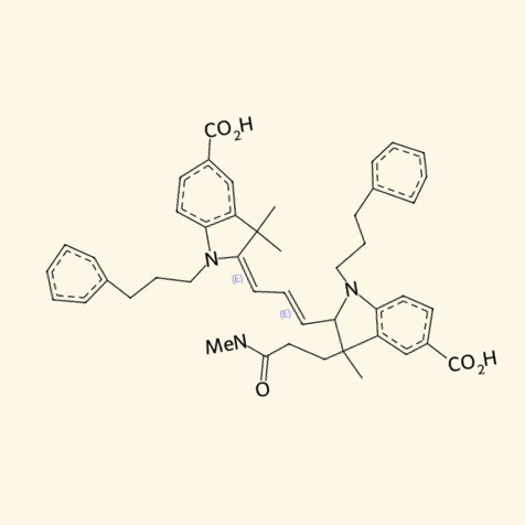 CNC(=O)CCC1(C)c2cc(C(=O)O)ccc2N(CCCc2ccccc2)C1/C=C/C=C1/N(CCCc2ccccc2)c2ccc(C(=O)O)cc2C1(C)C